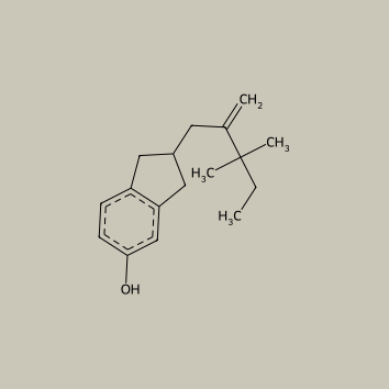 C=C(CC1Cc2ccc(O)cc2C1)C(C)(C)CC